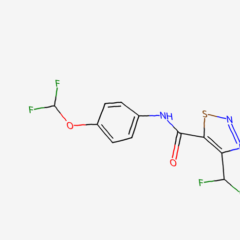 O=C(Nc1ccc(OC(F)F)cc1)c1snnc1C(F)F